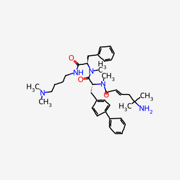 CN(C)CCCCNC(=O)[C@@H](Cc1ccccc1)N(C)C(=O)[C@@H](Cc1ccc(-c2ccccc2)cc1)N(C)C(=O)/C=C/CC(C)(C)N